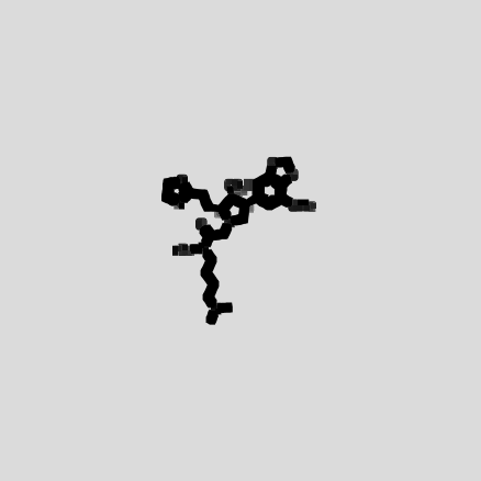 CCCCN(CCCCN(C)C)C(=O)CN1C[C@H](c2cc(OC)c3c(c2)OCO3)[C@@H](C(=O)O)[C@@H]1CCc1ncco1